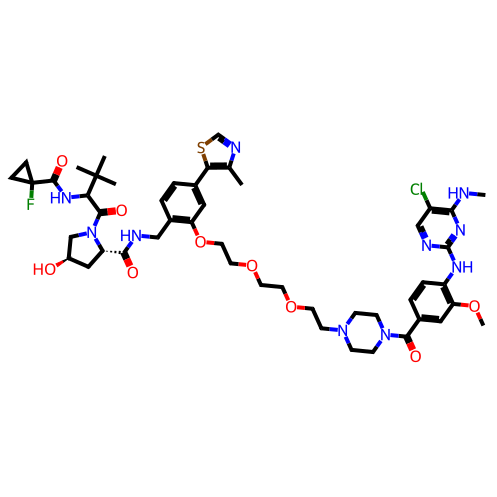 CNc1nc(Nc2ccc(C(=O)N3CCN(CCOCCOCCOc4cc(-c5scnc5C)ccc4CNC(=O)[C@@H]4C[C@@H](O)CN4C(=O)C(NC(=O)C4(F)CC4)C(C)(C)C)CC3)cc2OC)ncc1Cl